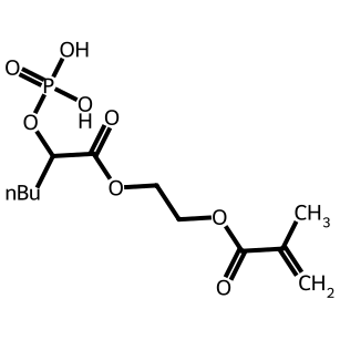 C=C(C)C(=O)OCCOC(=O)C(CCCC)OP(=O)(O)O